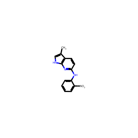 Cc1c[nH]c2nc(Nc3ccccc3[N+](=O)[O-])ccc12